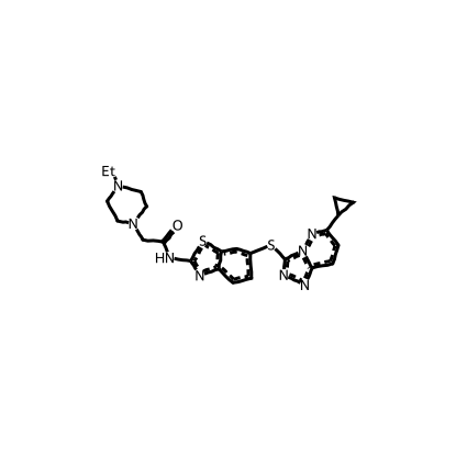 CCN1CCN(CC(=O)Nc2nc3ccc(Sc4nnc5ccc(C6CC6)nn45)cc3s2)CC1